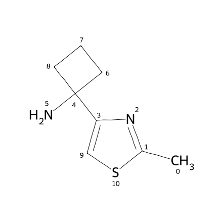 Cc1nc(C2(N)CCC2)cs1